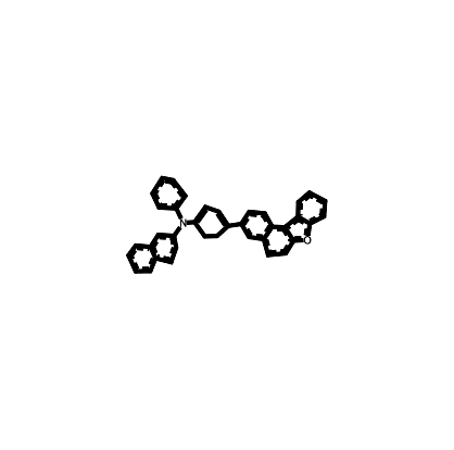 C1=C(c2ccc3c(ccc4oc5ccccc5c43)c2)CCC(N(c2ccccc2)c2ccc3ccccc3c2)=C1